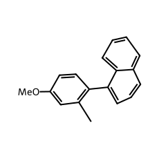 COc1ccc(-c2cccc3ccccc23)c(C)c1